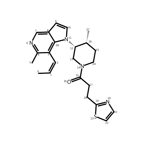 C/C=C\c1c(C)ncc2ccn([C@H]3CN(C(=O)CCc4nccs4)CC[C@H]3C)c12